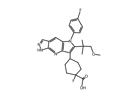 COCC(C)(C)c1c(C2CCC(F)(C(=O)O)CC2)c2nc3[nH]ncc3cc2n1-c1ccc(F)cc1